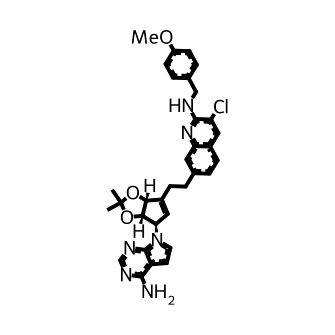 COc1ccc(CNc2nc3cc(CCC4=C[C@@H](n5ccc6c(N)ncnc65)[C@@H]5OC(C)(C)O[C@H]45)ccc3cc2Cl)cc1